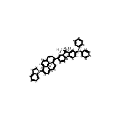 CC1(C)c2cc(-c3ccc4ccc5c(N6CCc7ccccc76)ccc6ccc3c4c65)ccc2-c2ccc(N(c3ccccc3)c3ccccc3)cc21